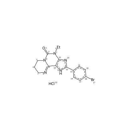 CCN1C(=O)N2CCCN=C2c2[nH]c(-c3ccc(Br)cc3)nc21.Cl